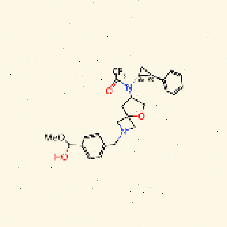 COC(O)c1ccc(CN2CC3(CC(N(C(=O)C(F)(F)F)[C@@H]4C[C@H]4c4ccccc4)CO3)C2)cc1